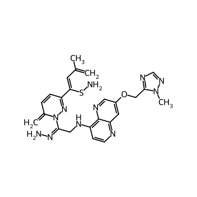 C=C(C)/C=C(\SN)C1=NN(/C(CNc2ccnc3cc(OCc4ncnn4C)cnc23)=N\N)C(=C)C=C1